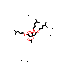 CC(=O)OC(CC(=O)OCCCC(C)C)(CC(=O)OCCCC(C)C)C(=O)OCCCC(C)C